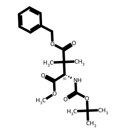 COC(=O)[C@@H](NC(=O)OC(C)(C)C)C(C)(C)C(=O)OCc1ccccc1